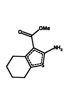 COC(=O)c1c(N)sc2c1CCCC2